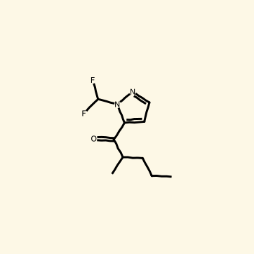 CCCC(C)C(=O)c1ccnn1C(F)F